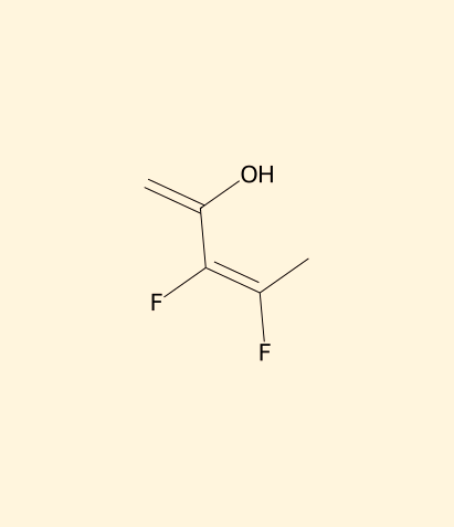 C=C(O)/C(F)=C(\C)F